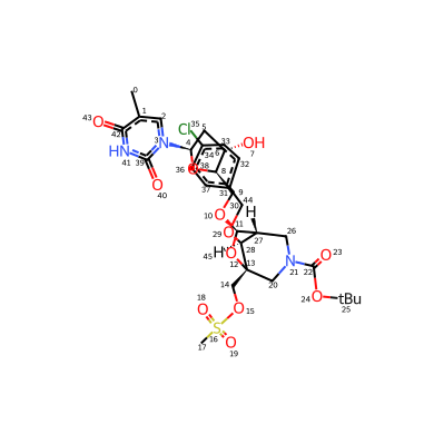 Cc1cn([C@H]2C[C@H](O)[C@@H](CO[C@@H]3O[C@@]4(COS(C)(=O)=O)CN(C(=O)OC(C)(C)C)C[C@@H]3[C@@H]4OCc3ccc(Cl)cc3)O2)c(=O)[nH]c1=O